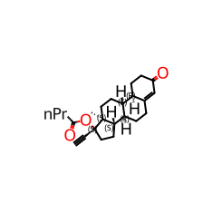 C#C[C@]1(OC(=O)CCC)CC[C@H]2[C@@H]3CCC4=CC(=O)CC[C@@H]4[C@H]3CC[C@@]21C